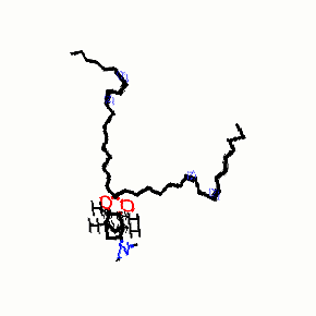 CCCCC/C=C\C/C=C\CCCCCCCCC1(CCCCCC/C=C\C/C=C\CCCCCCC)O[C@@H]2[C@H]3CC(N(C)C)[C@H](C3)[C@@H]2O1